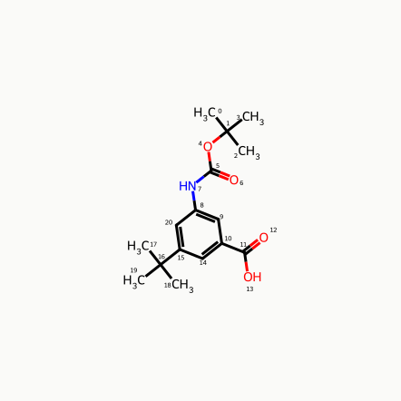 CC(C)(C)OC(=O)Nc1cc(C(=O)O)cc(C(C)(C)C)c1